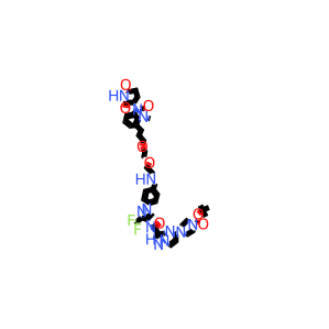 Cn1c(=O)n(C2CCC(=O)NC2=O)c2cccc(CCCOCCOCCNCc3ccc(-n4cc(NC(=O)c5cnn6ccc(N7CCN(C(=O)OC(C)(C)C)CC7)nc56)c(C(F)F)n4)cc3)c21